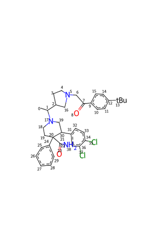 CC(C1CCN(CC(=O)c2ccc(C(C)(C)C)cc2)C1)N1CCC(C(N)=O)(c2ccccc2)C(c2ccc(Cl)c(Cl)c2)C1